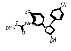 N#Cc1ccc([C@H]2C[C@@H](O)CN2c2ccc(Cl)cc2)cc1.NC(=O)NC=O